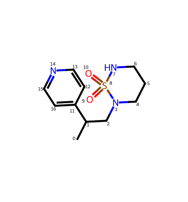 CC(CN1CCCNS1(=O)=O)c1ccncc1